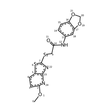 COc1ccc2sc(SCC(=O)Nc3ccc4c(c3)OCO4)nc2n1